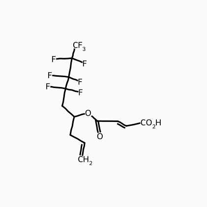 C=CCC(CC(F)(F)C(F)(F)C(F)(F)C(F)(F)F)OC(=O)C=CC(=O)O